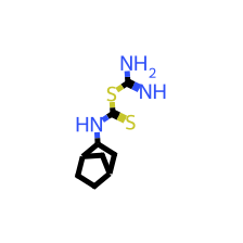 N=C(N)SC(=S)NC1CC2CCC1C2